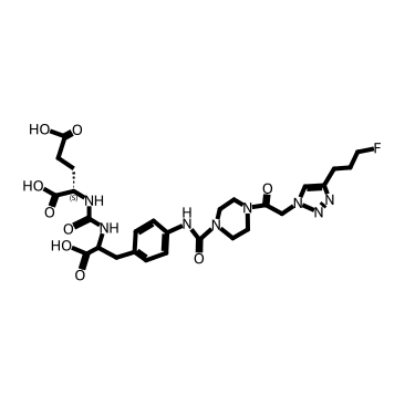 O=C(O)CC[C@H](NC(=O)NC(Cc1ccc(NC(=O)N2CCN(C(=O)Cn3cc(CCCF)nn3)CC2)cc1)C(=O)O)C(=O)O